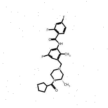 Cc1c(CN2CCN(C(=O)C3CCCC3)[C@@H](C)C2)cc(F)cc1NC(=O)c1ccc(F)cc1F